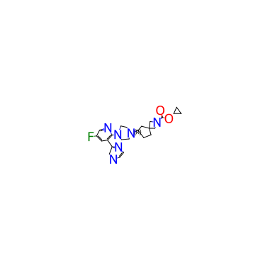 O=C(OC1CC1)N1CC2(CC[C@@H](N3CCN(c4ncc(F)cc4-c4cnccn4)CC3)C2)C1